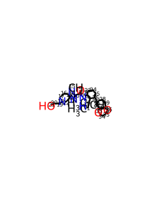 CCC(C)(C)c1c(NC(=O)c2nc3c(n2C)CCN(CCO)C3)cccc1-c1ccc2c(c1)OCCO2